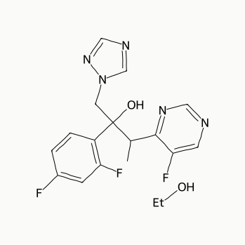 CC(c1ncncc1F)C(O)(Cn1cncn1)c1ccc(F)cc1F.CCO